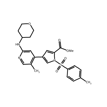 COC(=O)c1cc(-c2cc(NC3CCOCC3)ncc2C)cn1S(=O)(=O)c1ccc(C)cc1